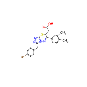 Cc1ccc(C2=Nn3c(Cc4ccc(Br)cc4)nnc3SC2CC(=O)O)cc1C